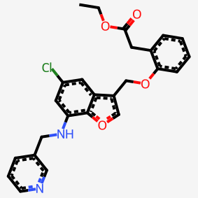 CCOC(=O)Cc1ccccc1OCc1coc2c(NCc3cccnc3)cc(Cl)cc12